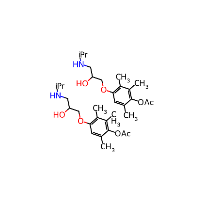 CC(=O)Oc1c(C)cc(OCC(O)CNC(C)C)c(C)c1C.CC(=O)Oc1c(C)cc(OCC(O)CNC(C)C)c(C)c1C